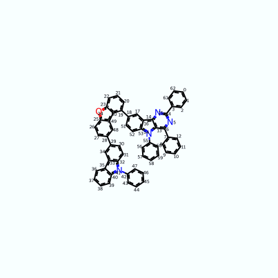 c1ccc(-c2nc(-c3ccccc3)c3c(n2)c2cc(-c4cccc5oc6ccc(-c7ccc8c(c7)c7ccccc7n8-c7ccccc7)cc6c45)ccc2n3-c2ccccc2)cc1